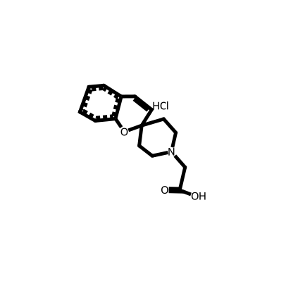 Cl.O=C(O)CN1CCC2(C=Cc3ccccc3O2)CC1